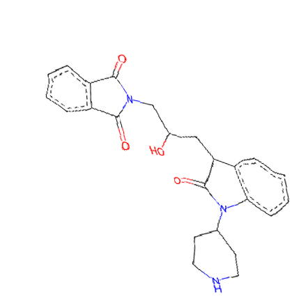 O=C1c2ccccc2C(=O)N1CC(O)CC1C(=O)N(C2CCNCC2)c2ccccc21